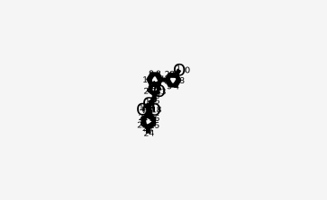 COc1cccc(-c2cccc3c2OC(COS(=O)(=O)c2ccc(C)cc2)C3)c1